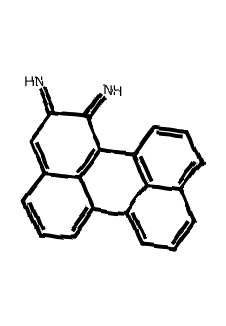 N=c1cc2cccc3c4cccc5cccc(c(c1=N)c23)c54